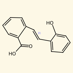 O=C(O)c1ccccc1/C=C/c1ccccc1O